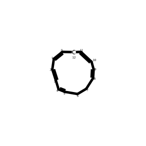 [C]1=CC=CC=CCCC=CC=CC1